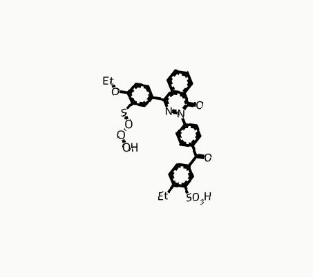 CCOc1ccc(-c2nn(-c3ccc(C(=O)c4ccc(CC)c(S(=O)(=O)O)c4)cc3)c(=O)c3ccccc23)cc1SOOO